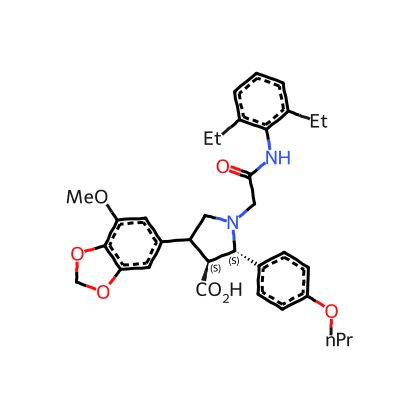 CCCOc1ccc([C@@H]2[C@@H](C(=O)O)C(c3cc(OC)c4c(c3)OCO4)CN2CC(=O)Nc2c(CC)cccc2CC)cc1